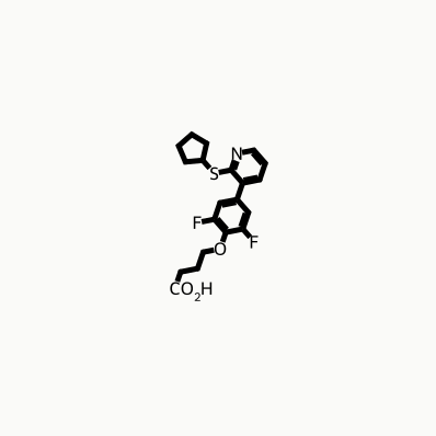 O=C(O)CCCOc1c(F)cc(-c2cccnc2SC2CCCC2)cc1F